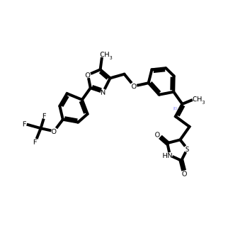 C/C(=C\CC1SC(=O)NC1=O)c1cccc(OCc2nc(-c3ccc(OC(F)(F)F)cc3)oc2C)c1